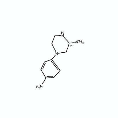 C[C@@H]1CN(c2ccc(N)cc2)CCN1